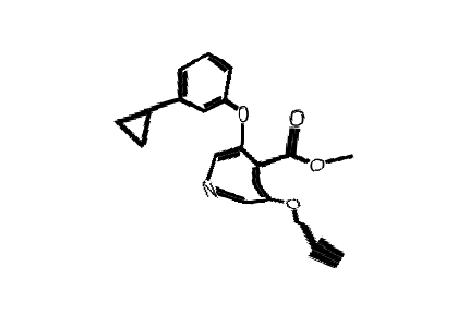 C#CCOc1cncc(Oc2cccc(C3CC3)c2)c1C(=O)OC